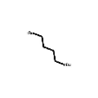 CCCCCCC[CH]C(C)(C)C